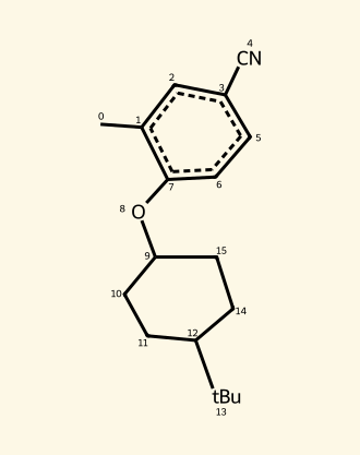 Cc1cc(C#N)ccc1OC1CCC(C(C)(C)C)CC1